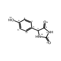 O=C1NC(=O)C(c2ccc(O)cc2)N1